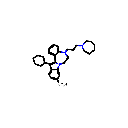 O=C(O)c1ccc2c(C3CCCCC3)c3n(c2c1)CCN(CCCN1CCCCCC1)c1ccccc1-3